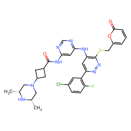 C[C@@H]1CN(C2CC(C(=O)Nc3cc(Nc4cc(-c5cc(Cl)ccc5F)nnc4SCc4cccc(=O)o4)ncn3)C2)C[C@H](C)N1